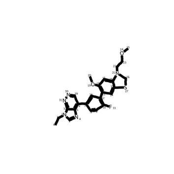 CCn1cnc2c(-c3ccc(F)c(-c4cc5c(cc4OC)N(CCOC)CS5)c3)cnnc21